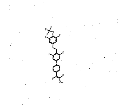 CO/C(F)=C(\F)c1ccc(-c2cc(F)c(CCc3cc(F)c(OC(F)(F)F)c(F)c3)c(F)c2)cc1